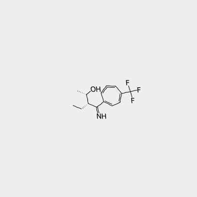 CC[C@@H](C(=N)C1=CC=C(C(F)(F)F)C=C=C1)[C@H](C)O